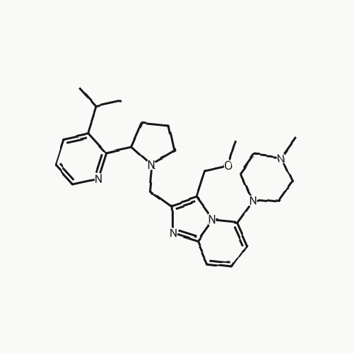 COCc1c(CN2CCCC2c2ncccc2C(C)C)nc2cccc(N3CCN(C)CC3)n12